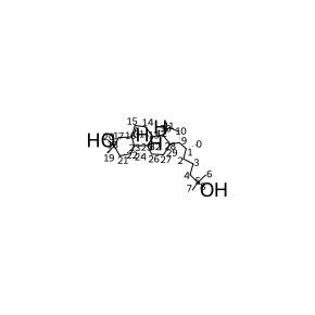 C[C@H](CCCC(C)(C)O)[C@H]1CC[C@H]2[C@@H]3CC=C4C[C@@](C)(O)CC[C@]4(C)[C@H]3CC[C@]12C